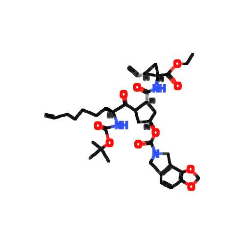 C=CCCCCC[C@H](NC(=O)OC(C)(C)C)C(=O)C1C[C@H](OC(=O)N2Cc3ccc4c(c3C2)OCO4)C[C@H]1C(=O)N[C@]1(C(=O)OCC)C[C@H]1C=C